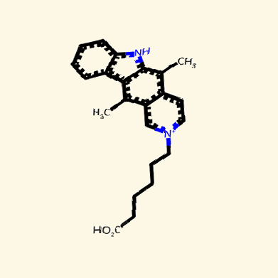 Cc1c2cc[n+](CCCCCC(=O)O)cc2c(C)c2c1[nH]c1ccccc12